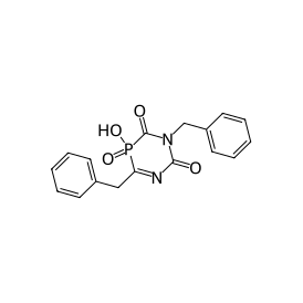 O=C1N=C(Cc2ccccc2)P(=O)(O)C(=O)N1Cc1ccccc1